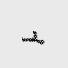 c1cncc(-c2ccc(-c3ccc(-c4nc5c(-c6ccc(-c7cccnc7)cc6)cc(-c6ccc(-c7cccc8ccccc78)cc6)cc5o4)cc3)cc2)c1